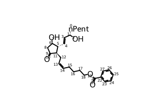 CCCCC[C@H](O)/C=C/[C@H]1[C@H](O)CC(=O)[C@@H]1C/C=C\CCCCOC(=O)c1ccccc1